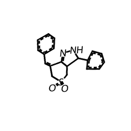 O=S1(=O)C/C(=C/c2ccccc2)C2=NNC(c3ccccc3)C2C1